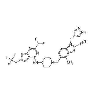 Cc1c(CN2CCC(Nc3nc(C(F)F)nc4sc(CC(F)(F)F)cc34)CC2)ccc2c1cc(C#N)n2Cc1cn[nH]c1